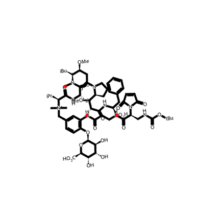 CC[C@H](C)[C@@H]([C@H](CC(=O)N1CCC[C@H]1[C@H](OC)[C@@H](C)C(=O)N[C@@H](Cc1ccccc1)C(=O)O)OC)N(C)C(=O)[C@@H](NC(=O)[C@H](C(C)C)[N+](C)(C)Cc1ccc(O[C@@H]2O[C@H](C(=O)O)[C@@H](O)[C@@H](O)[C@@H]2O)c(NC(=O)CCNC(=O)[C@H](CNC(=O)OC(C)(C)C)N2C(=O)C=CC2=O)c1)C(C)C